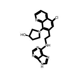 O[C@@H]1CCN(c2c(CCNc3ncnc4[nH]cnc34)cc(Cl)c3cccnc23)C1